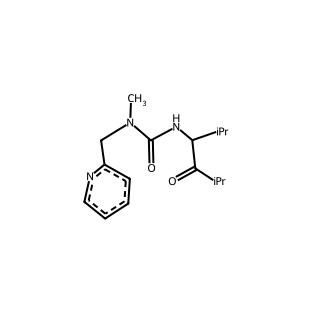 CC(C)C(=O)C(NC(=O)N(C)Cc1ccccn1)C(C)C